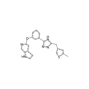 Cc1cc(Cc2nnc(-c3cccc(Oc4cc5cc[nH]c5cn4)c3)[nH]2)cs1